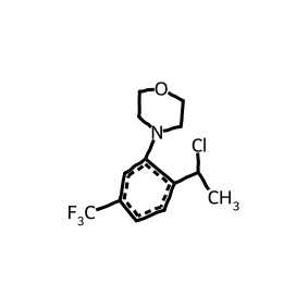 CC(Cl)c1ccc(C(F)(F)F)cc1N1CCOCC1